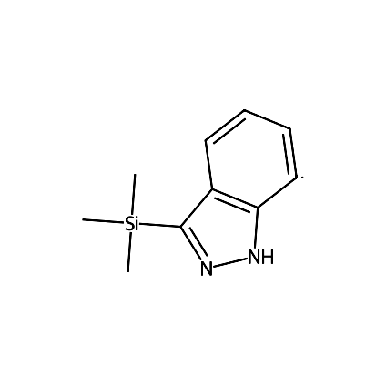 C[Si](C)(C)c1n[nH]c2[c]cccc12